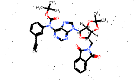 C#Cc1cccc(N(C(=O)OC(C)(C)C)c2ncnc3c2ncn3[C@@H]2O[C@H](CN3C(=O)c4ccccc4C3=O)[C@H]3OC(C)(C)O[C@H]32)c1